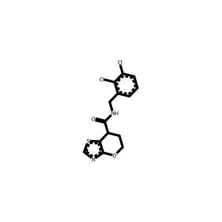 O=C(NCc1cccc(Cl)c1Cl)C1CCOc2ncsc21